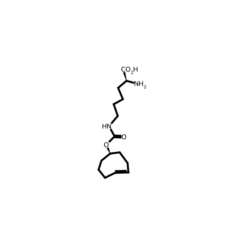 N[C@@H](CCCCNC(=O)O[C@H]1CC/C=C/CCC1)C(=O)O